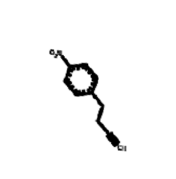 C#C[CH]Cc1ccc([N+](=O)[O-])cc1